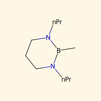 CCCN1CCCN(CCC)B1C